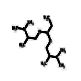 CCN(OCC(C)P(C)C)OCC(C)P(C)C